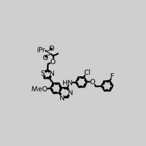 COc1cc2ncnc(Nc3ccc(OCc4cccc(F)c4)c(Cl)c3)c2cc1-c1csc(COC(C)S(=O)(=O)C(C)C)n1